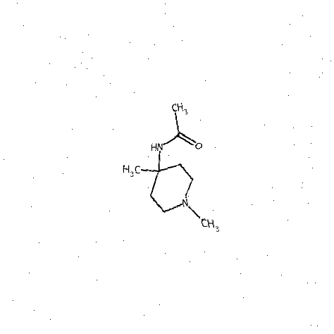 CC(=O)NC1(C)CCN(C)CC1